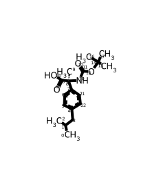 CC(C)Cc1ccc([C@](C)(NC(=O)OC(C)(C)C)C(=O)O)cc1